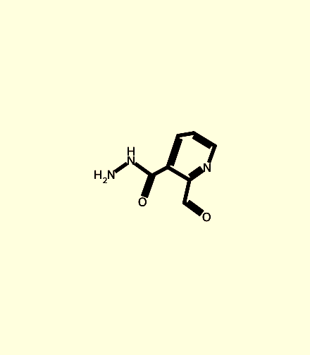 NNC(=O)c1cccnc1C=O